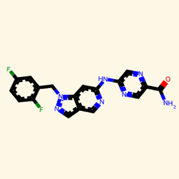 NC(=O)c1cnc(Nc2cc3c(cn2)cnn3Cc2cc(F)ccc2F)cn1